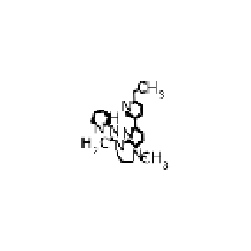 C=C(Nc1ccccn1)N1CCCN(C)c2ccc(-c3ccc(CC)nc3)nc21